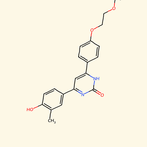 COCCOc1ccc(-c2cc(-c3ccc(O)c(C)c3)nc(=O)[nH]2)cc1